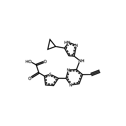 C#Cc1cnc(-c2ccc(C(=O)C(=O)O)s2)nc1Nc1cc(C2CC2)[nH]n1